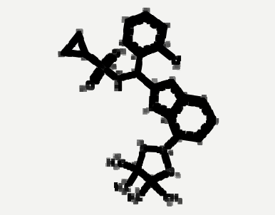 CC1(C)OB(c2cccc3cc(C(NS(=O)(=O)C4CC4)c4ccccc4Cl)sc23)OC1(C)C